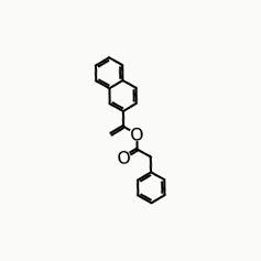 C=C(OC(=O)Cc1ccccc1)c1ccc2ccccc2c1